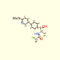 CSc1ccc(-c2ccc(C(O)C(CF)NC(=O)C(F)F)cc2)cn1